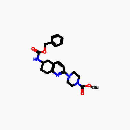 CC(C)(C)OC(=O)N1CCN(c2ccc3c(n2)CCC(NC(=O)OCc2ccccc2)C3)CC1